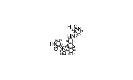 Cc1nccc(CNc2ccc3c(c2)Sc2cccc(C4CN(c5ccc[nH]c5=O)CCO4)c2S3)n1